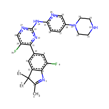 CCC1(CC)C(C)=Nc2c(F)cc(-c3nc(Nc4ccc(N5CCNCC5)cn4)ncc3F)cc21